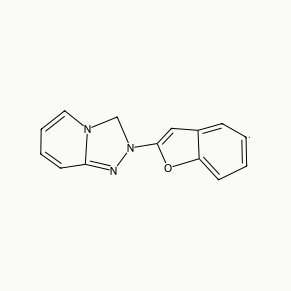 [c]1ccc2oc(N3CN4C=CC=CC4=N3)cc2c1